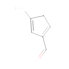 CC1=CC(C=O)=CC1